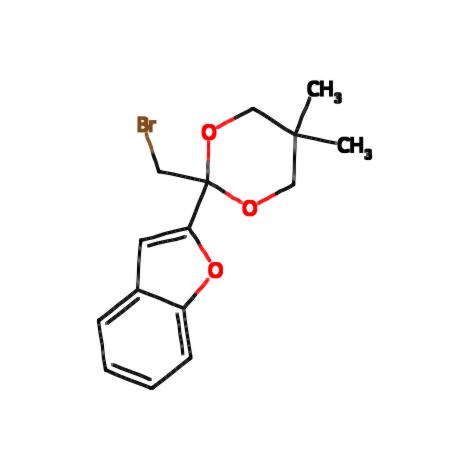 CC1(C)COC(CBr)(c2cc3ccccc3o2)OC1